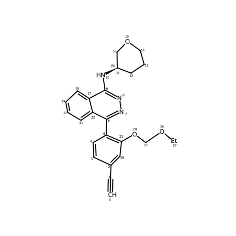 C#Cc1ccc(-c2nnc(N[C@@H]3CCCOC3)c3ccccc23)c(OCOCC)c1